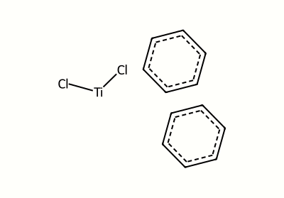 [Cl][Ti][Cl].c1ccccc1.c1ccccc1